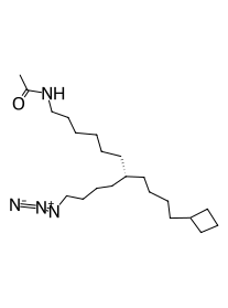 CC(=O)NCCCCCC[C@@H](CCCCN=[N+]=[N-])CCCCC1CCC1